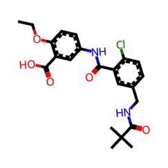 CCOc1ccc(NC(=O)c2cc(CNC(=O)C(C)(C)C)ccc2Cl)cc1C(=O)O